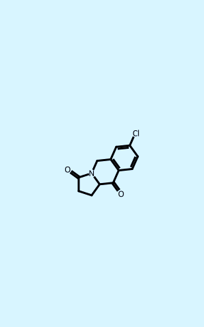 O=C1c2ccc(Cl)cc2CN2C(=O)CCC12